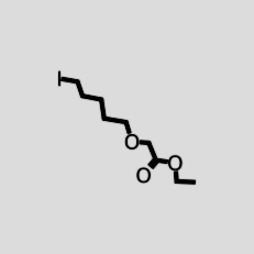 CCOC(=O)COCCCCCI